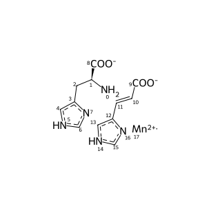 N[C@@H](Cc1c[nH]cn1)C(=O)[O-].O=C([O-])C=Cc1c[nH]cn1.[Mn+2]